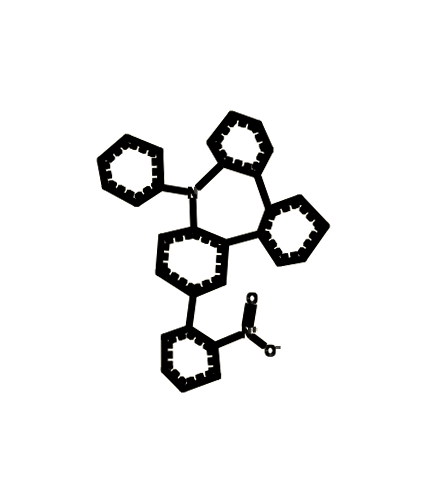 O=[N+]([O-])c1ccccc1-c1ccc2c(c1)-c1ccccc1-c1ccccc1N2c1ccccc1